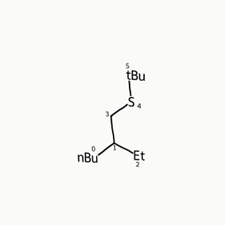 CCCCC(CC)CSC(C)(C)C